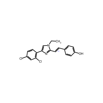 CCn1cc(-c2ccc(Cl)cc2Cl)nc1/C=C/c1ccc(O)cc1